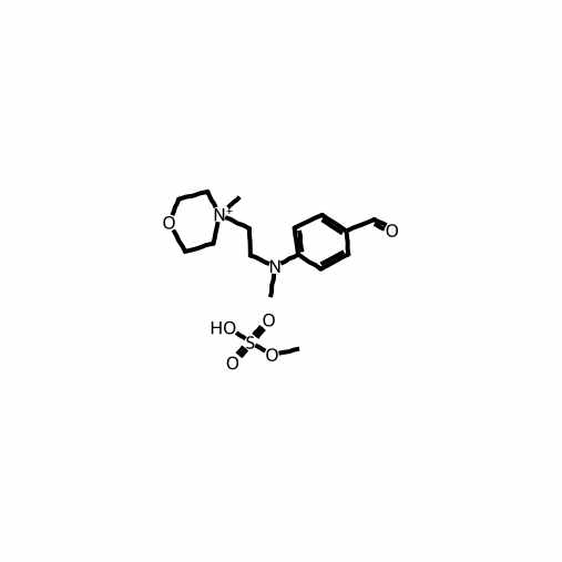 CN(CC[N+]1(C)CCOCC1)c1ccc(C=O)cc1.COS(=O)(=O)O